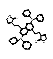 O=C1OCC=C1CCc1cc(N(c2ccccc2)c2ccccc2)cc2c(CCC3=CCOC3=O)cc(N(c3ccccc3)c3ccccc3)cc12